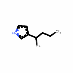 CC(C)(C)C(CCC(F)(F)F)c1cc[nH]c1